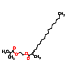 C=C(C)C(=O)OCCOC(=O)C(C)=CCCCCCCCCCCCCCC